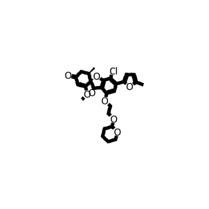 COC1=CC(=O)C[C@@H](C)[C@]12Oc1c(Cl)c(-c3ccc(C)o3)cc(OCCOC3CCCCO3)c1C2=O